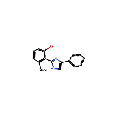 COc1cccc(O)c1-c1nc(-c2ccccc2)c[nH]1